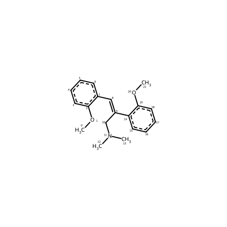 COc1ccccc1C=C(CN(C)C)c1ccccc1OC